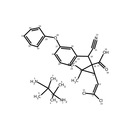 CC(C)(N)C(C)(C)N.CC1(C)C(C=C(Cl)Cl)C1(C(=O)O)C(C#N)c1cccc(Oc2ccccc2)c1